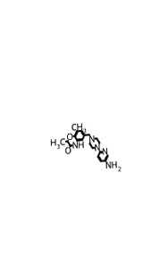 Cc1cc(CN2CCN(c3ccc(N)cn3)CC2)cc2c1OC(C)C(=O)N2